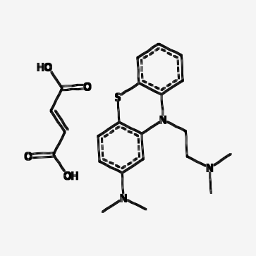 CN(C)CCN1c2ccccc2Sc2ccc(N(C)C)cc21.O=C(O)C=CC(=O)O